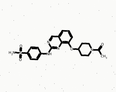 CC(=O)N1CCC(Oc2cccc3cnc(Nc4ccc(S(N)(=O)=O)cc4)nc23)CC1